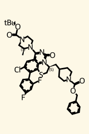 C[C@H]1CN(C(=O)OC(C)(C)C)CCN1c1nc(=O)n2c3c(c(-c4ccc(F)cc4F)c(Cl)cc13)SC[C@@H]2CC1CCN(C(=O)OCc2ccccc2)CC1